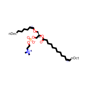 CCCCCCCC/C=C\CCCCCCCCCC(=O)O[C@H](CO/C=C\CCCCCCCCCCCCCC)COP(=O)([O-])OCC[N+](C)(C)C